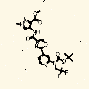 COC(=O)c1nn(C)cc1NC(=O)c1coc(-c2ccnc(N(CC(F)(F)F)C(=O)OC(C)(C)C)c2)n1